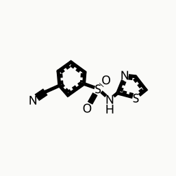 N#Cc1cccc(S(=O)(=O)Nc2nccs2)c1